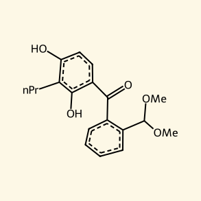 CCCc1c(O)ccc(C(=O)c2ccccc2C(OC)OC)c1O